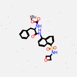 CC(C)(C)OC(=O)NC(Cc1ccccc1)C(=O)Nc1cccc2c(S(=O)(=O)NC3COC3)cccc12